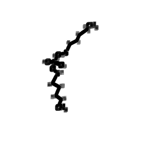 CCCCCSOS(=O)(=O)OSCCCCC